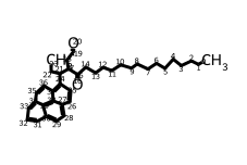 CCCCCCCCCCCCCCCC(=O)C(C[C]=O)C(CC)c1ccc2ccc3cccc4ccc1c2c34